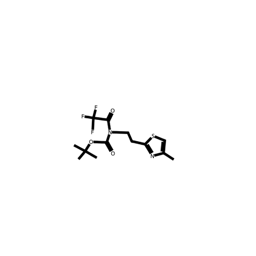 Cc1csc(CCN(C(=O)OC(C)(C)C)C(=O)C(F)(F)F)n1